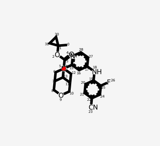 CC1(OC(=O)N2CC3COCC(C2)C3Oc2cc(Nc3ccc(C#N)cc3F)ccn2)CC1